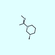 C/N=C(\C)N1CCC[C@@H](C)C1